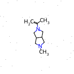 C=C(C)N1CC2CN(C)CC2C1